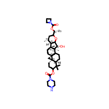 CC(C)[C@@H](OC(=O)N1CCC1)C1C[C@@H](C)[C@H]2C(O1)[C@H](O)[C@@]1(C)C3CC[C@H]4C(C)(C)C(OC(=O)N5CCNCC5)CC[C@@]45C[C@@]35CC[C@]21C